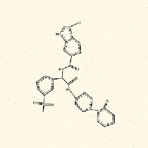 CS(=O)(=O)c1cccc(C(NC(=O)c2ccc3c(Cl)c[nH]c3c2)C(=O)Nc2ccc(-n3ccccc3=O)cc2)c1